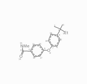 CCC(C)(C)c1ccc(Oc2ccc(C(=O)NC)cc2)cc1